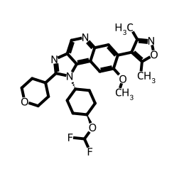 COc1cc2c(cc1-c1c(C)noc1C)ncc1nc(C3CCOCC3)n([C@H]3CC[C@H](OC(F)F)CC3)c12